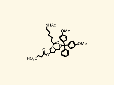 COc1ccc(C(OCC2C[C@@H](OC(=O)CCC(=O)O)CN2C(=O)CCCCCNC(C)=O)(c2ccccc2)c2ccc(OC)cc2)cc1